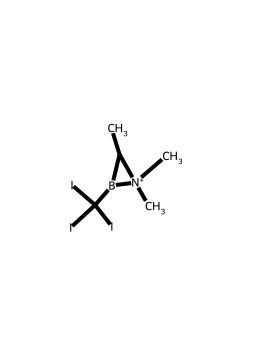 CC1B(C(I)(I)I)[N+]1(C)C